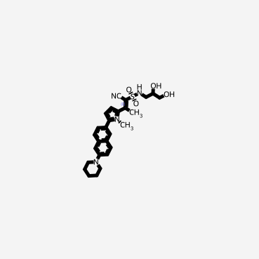 C/C(=C(/C#N)S(=O)(=O)NCC(O)CO)c1ccc(-c2ccc3cc(N4CCCCC4)ccc3c2)n1C